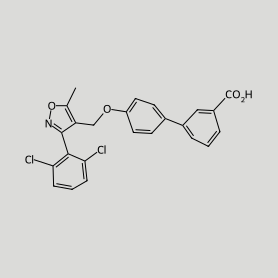 Cc1onc(-c2c(Cl)cccc2Cl)c1COc1ccc(-c2cccc(C(=O)O)c2)cc1